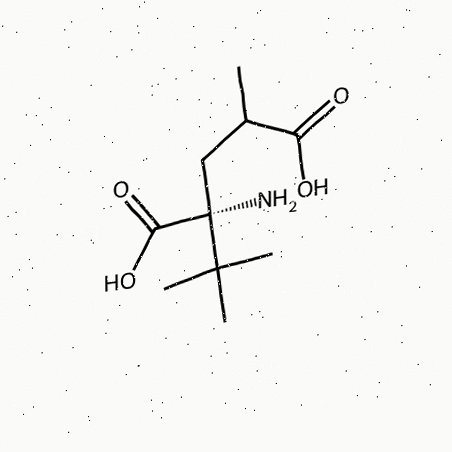 CC(C[C@](N)(C(=O)O)C(C)(C)C)C(=O)O